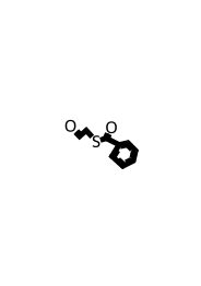 O=CCSC(=O)c1ccccc1